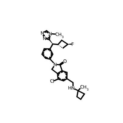 Cn1cnnc1[C@H](c1cccc(N2Cc3c(Cl)cc(CNC4(C)CCC4)cc3C2=O)c1)[C@H]1C[C@H](F)C1